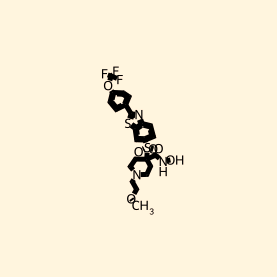 COCCN1CCC(C(=O)NO)(S(=O)(=O)c2ccc3nc(-c4ccc(OC(F)(F)F)cc4)sc3c2)CC1